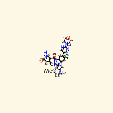 CCN(C)C1CN(c2cc(F)c(-c3cnc(N4CCOCC4)nc3)cc2NC(=O)c2c[nH]c(=O)cc2C(F)(F)F)CC1OC